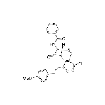 COc1ccc(COC(=O)C2=C(C(=O)Cl)CS[C@H]3C(NC(=O)c4ccccc4)C(=O)N23)cc1